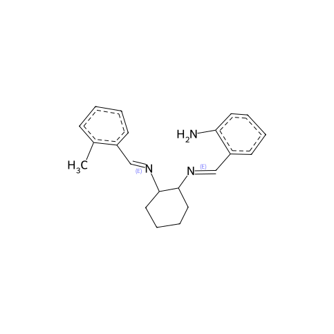 Cc1ccccc1/C=N/C1CCCCC1/N=C/c1ccccc1N